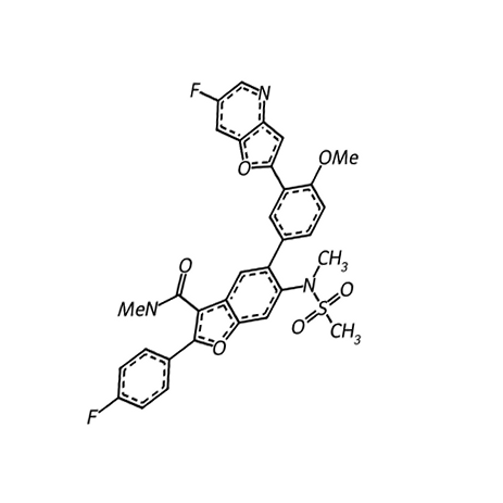 CNC(=O)c1c(-c2ccc(F)cc2)oc2cc(N(C)S(C)(=O)=O)c(-c3ccc(OC)c(-c4cc5ncc(F)cc5o4)c3)cc12